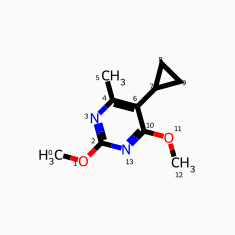 COc1nc(C)c(C2CC2)c(OC)n1